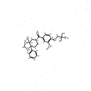 COc1cc(C(=O)N2CC[C@]3(c4ccccc4)OCO[C@@H]3C2)ccc1OCC(C)(C)F